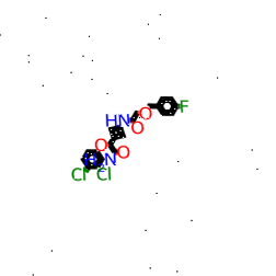 NC(=O)C(Oc1ccc(Cl)c(Cl)c1)C12CC(NC(=O)COCc3ccc(F)cc3)(C1)C2